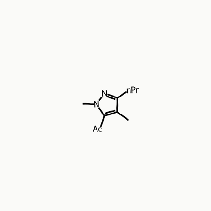 CCCc1nn(C)c(C(C)=O)c1C